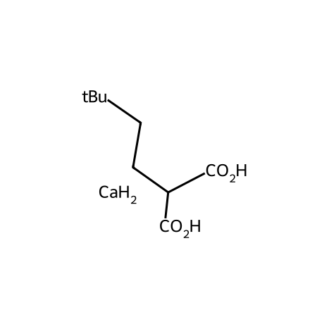 CC(C)(C)CCC(C(=O)O)C(=O)O.[CaH2]